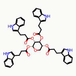 O=C(CCc1c[nH]c2ccccc12)O[C@H]1OC[C@@H](OC(=O)CCc2c[nH]c3ccccc23)[C@H](OC(=O)CCc2c[nH]c3ccccc23)[C@H]1OC(=O)CCc1c[nH]c2ccccc12